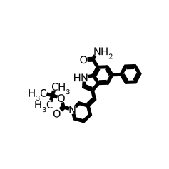 CC(C)(C)OC(=O)N1CCC/C(=C/c2c[nH]c3c(C(N)=O)cc(-c4ccccc4)cc23)C1